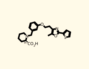 Cc1oc(-c2cccs2)nc1CCOc1cccc(CN2CCCC[C@@H]2C(=O)O)c1